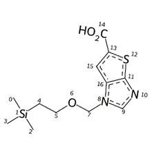 C[Si](C)(C)CCOCn1cnc2sc(C(=O)O)cc21